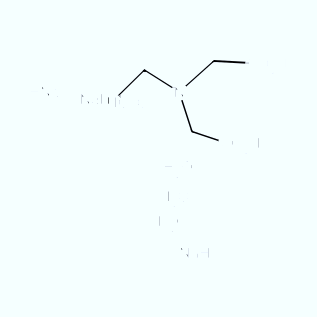 O.O.O.O=C(O)CN(CC(=O)O)CC(=O)O.[NaH].[NaH].[NaH]